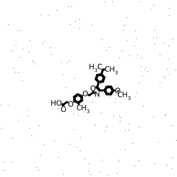 COc1ccc(-c2nc(COc3ccc(OCC(=O)O)c(C)c3)oc2-c2ccc(C(C)C)cc2)cc1